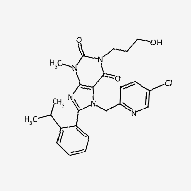 CC(C)c1ccccc1-c1nc2c(c(=O)n(CCCO)c(=O)n2C)n1Cc1ccc(Cl)cn1